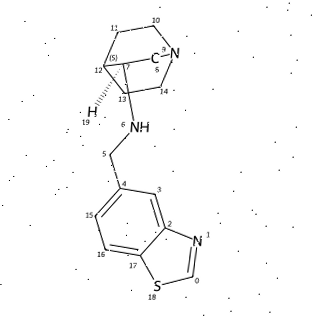 c1nc2cc(CN[C@@H]3CN4CCC3CC4)ccc2s1